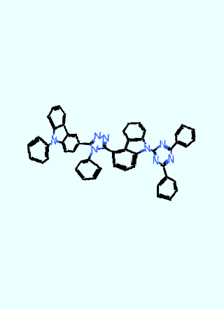 C1=Cc2c(c3c(-c4nnc(-c5ccc6c(c5)c5ccccc5n6-c5ccccc5)n4-c4ccccc4)cccc3n2-c2nc(-c3ccccc3)nc(-c3ccccc3)n2)CC1